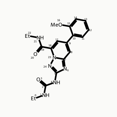 CCNC(=O)Nc1nc2cc(-c3ccccc3OC)cc(C(=O)NCC)n2n1